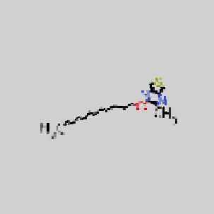 CCCCCCCCCCCCOc1nc2cscc2nc1C